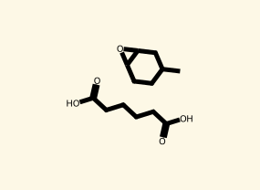 CC1CCC2OC2C1.O=C(O)CCCCC(=O)O